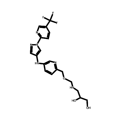 OCC(O)CNCOCc1ccc(Nc2cnn(-c3ccc(C(F)(F)F)cn3)c2)cn1